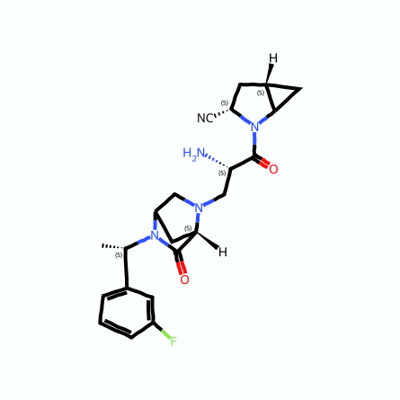 C[C@@H](c1cccc(F)c1)N1C(=O)[C@@H]2CC1CN2C[C@H](N)C(=O)N1C2C[C@H]2C[C@H]1C#N